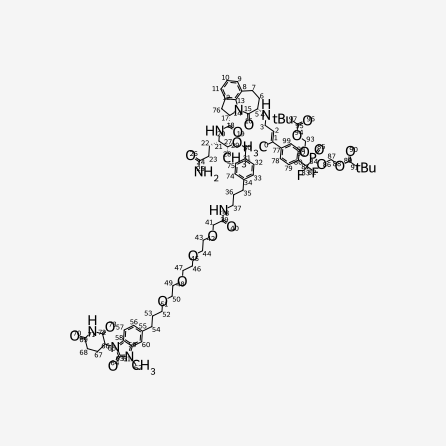 C/C(=C\CN[C@H]1CCc2cccc3c2N(C1=O)[C@H](C(=O)N[C@@H](CCC(N)=O)[C@@H](C)OCc1ccc(CCCNC(=O)COCCOCCOCCOCCCc2ccc4c(c2)n(C)c(=O)n4C2CCC(=O)NC2=O)cc1)C3)c1ccc(C(F)(F)P(=O)(OCOC(=O)C(C)(C)C)OCOC(=O)C(C)(C)C)cc1